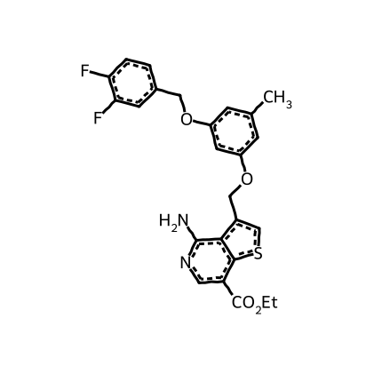 CCOC(=O)c1cnc(N)c2c(COc3cc(C)cc(OCc4ccc(F)c(F)c4)c3)csc12